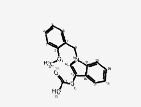 COc1ccccc1Cn1cc(OC(=O)O)c2ccccc21